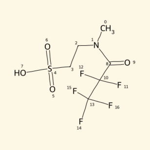 CN(CCS(=O)(=O)O)C(=O)C(F)(F)C(F)(F)F